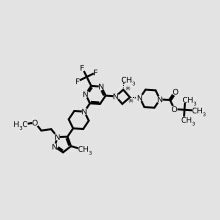 COCCn1ncc(C)c1C1CCN(c2cc(N3C[C@@H](N4CCN(C(=O)OC(C)(C)C)CC4)[C@H]3C)nc(C(F)(F)F)n2)CC1